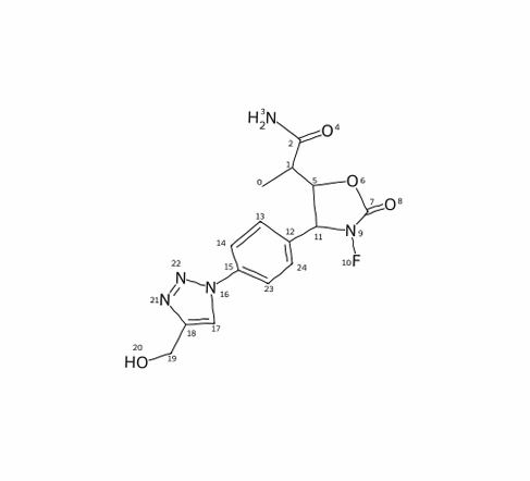 CC(C(N)=O)C1OC(=O)N(F)C1c1ccc(-n2cc(CO)nn2)cc1